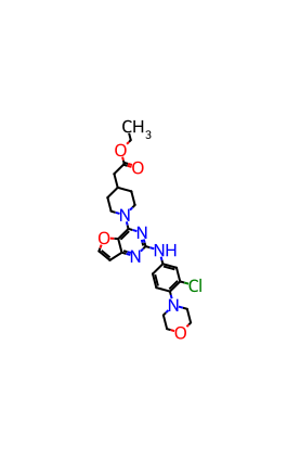 CCOC(=O)CC1CCN(c2nc(Nc3ccc(N4CCOCC4)c(Cl)c3)nc3ccoc23)CC1